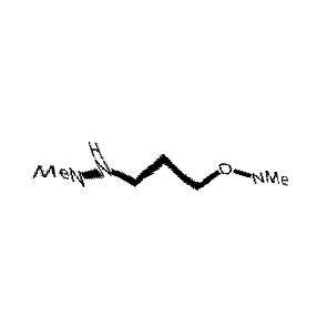 CNNCCCONC